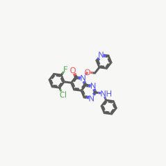 O=c1c(-c2c(F)cccc2Cl)cc2cnc(Nc3ccccc3)nc2n1OCc1cccnc1